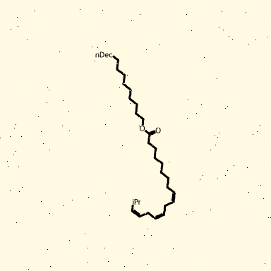 CCCCCCCCCCCCCCCCCCCOC(=O)CCCCCCC/C=C\C/C=C\C/C=C\C(C)C